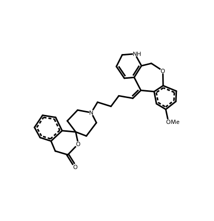 COc1ccc2c(c1)/C(=C/CCCN1CCC3(CC1)OC(=O)Cc1ccccc13)C1=C(CO2)NCC=C1